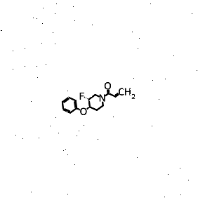 C=CC(=O)N1CC[C@@H](Oc2ccccc2)[C@H](F)C1